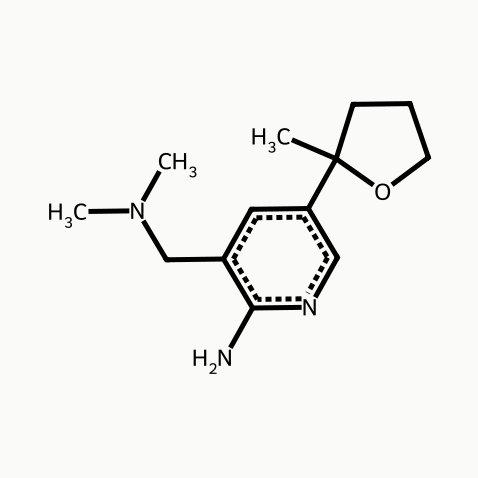 CN(C)Cc1cc(C2(C)CCCO2)cnc1N